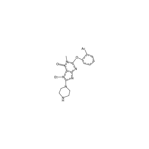 CCn1c(N2CCNCC2)nc2nc(Oc3ccccc3C(C)=O)n(C)c(=O)c21